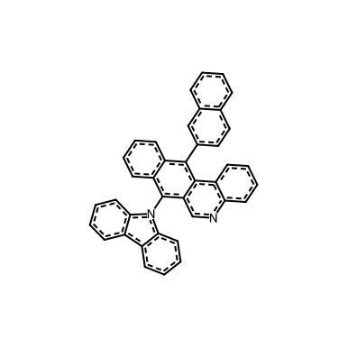 c1ccc2cc(-c3c4ccccc4c(-n4c5ccccc5c5ccccc54)c4cnc5ccccc5c34)ccc2c1